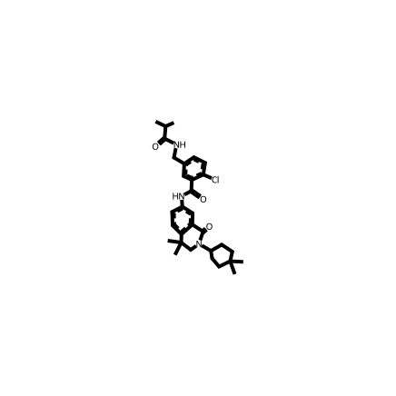 CC(C)C(=O)NCc1ccc(Cl)c(C(=O)Nc2ccc3c(c2)C(=O)N(C2CCC(C)(C)CC2)CC3(C)C)c1